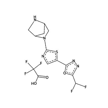 FC(F)c1nnc(-c2cnc(N3CC4CC3CN4)s2)o1.O=C(O)C(F)(F)F